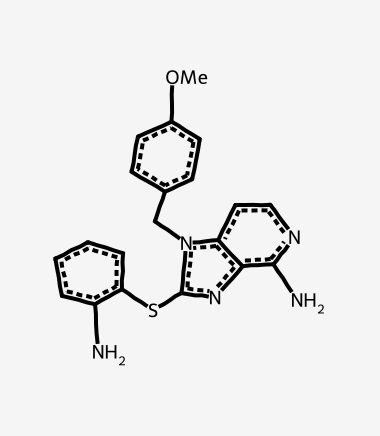 COc1ccc(Cn2c(Sc3ccccc3N)nc3c(N)nccc32)cc1